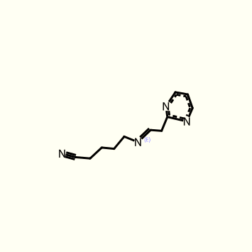 N#CCCCC/N=C/Cc1ncccn1